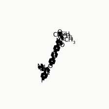 CC[C@@H]([C@H](C)OP(=O)([SiH3])Cl)n1ncn(-c2ccc(N3CCN(c4ccc(OC[C@@H]5CO[C@@](Cn6cncn6)(c6ccc(F)cc6F)C5)cc4)CC3)cc2)c1=O